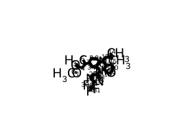 COC(=O)CC(C)c1ccc(N(CC(C)C)C2CCOCC2)c(Nc2cnc(C(F)(F)F)nc2)c1